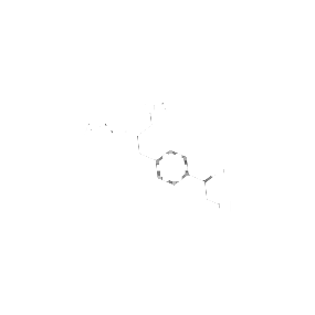 CC(=O)N[C@H](COC(C)=O)Cc1ccc(C(=O)CCl)cc1